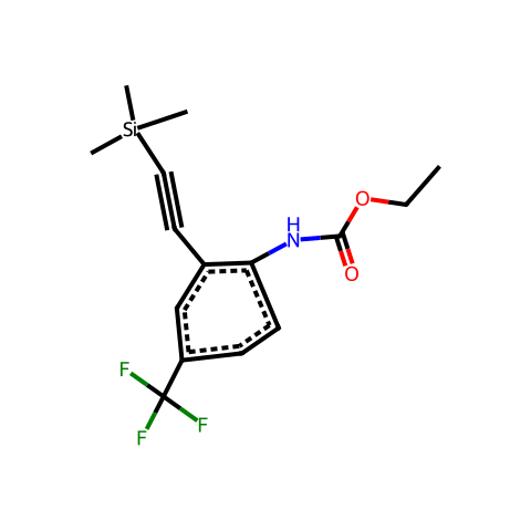 CCOC(=O)Nc1ccc(C(F)(F)F)cc1C#C[Si](C)(C)C